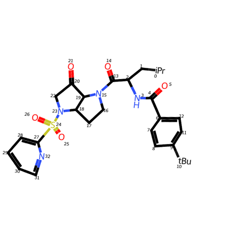 CC(C)CC(NC(=O)c1ccc(C(C)(C)C)cc1)C(=O)N1CCC2C1C(=O)CN2S(=O)(=O)c1ccccn1